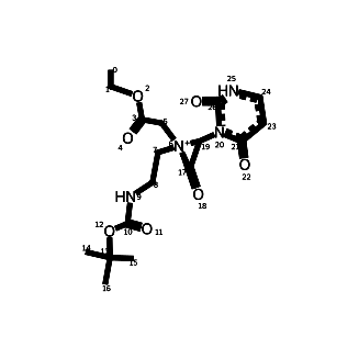 CCOC(=O)C[N+]1(CCNC(=O)OC(C)(C)C)C(=O)C1n1c(=O)cc[nH]c1=O